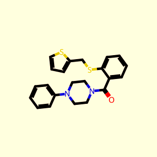 O=C(c1ccccc1SCc1cccs1)N1CCN(c2ccccc2)CC1